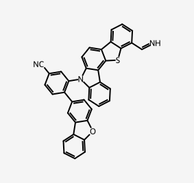 N#Cc1ccc(-c2ccc3oc4ccccc4c3c2)c(-n2c3ccccc3c3c4sc5c(C=N)cccc5c4ccc32)c1